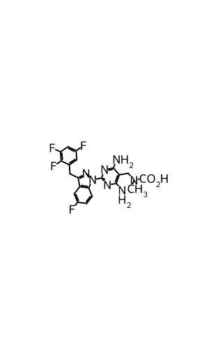 CN(Cc1c(N)nc(-n2nc(Cc3cc(F)cc(F)c3F)c3cc(F)ccc32)nc1N)C(=O)O